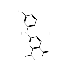 CC(C)c1nc(Nc2cccc(Cl)c2)ccc1C(=O)O.Cl